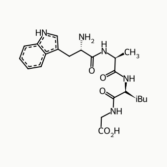 CC[C@H](C)[C@H](NC(=O)[C@H](C)NC(=O)[C@@H](N)Cc1c[nH]c2ccccc12)C(=O)NCC(=O)O